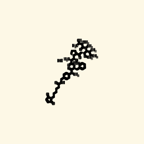 CC[C@H](C)[C@@H]([C@@H](CC(=O)N1CCC[C@H]1[C@H](OC)[C@@H](C)C(=O)N[C@@H](Cc1ccccc1)C(=O)N(C)c1ccc(CNC(=O)CCCCCN2C(=O)C=CC2=O)cc1)OC)N(C)C(=O)[C@@H](N)C(C)C.Cl